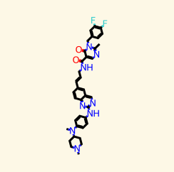 Cc1ncc(C(=O)NCC=Cc2ccc3nc(Nc4ccc(N(C)C5CCN(C)CC5)cc4)ncc3c2)c(=O)n1Cc1ccc(F)c(F)c1